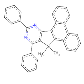 C[Si]1(C)c2c(-c3ccccc3)nc(-c3ccccc3)nc2-c2c1c1ccccc1c1ccccc21